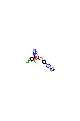 Clc1ccc(C2(Cn3cncn3)OCC(COc3ccc(N4CCN(c5nccs5)CC4)cc3)O2)c(Cl)c1